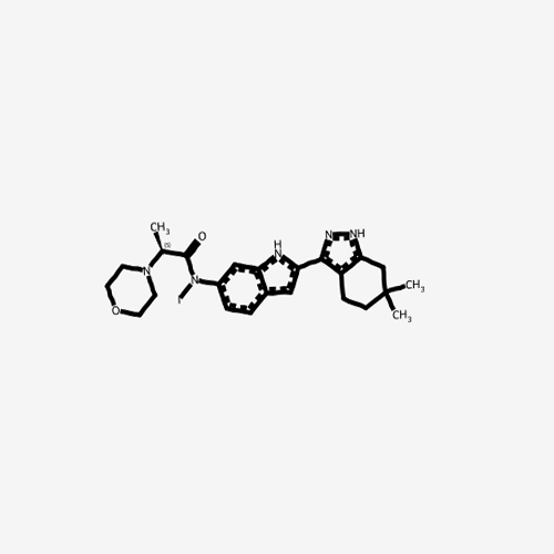 C[C@@H](C(=O)N(I)c1ccc2cc(-c3n[nH]c4c3CCC(C)(C)C4)[nH]c2c1)N1CCOCC1